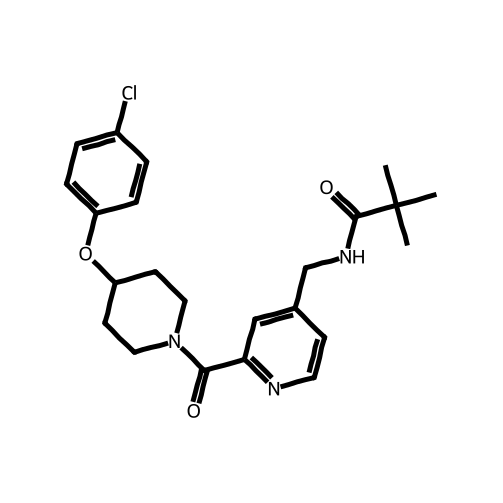 CC(C)(C)C(=O)NCc1ccnc(C(=O)N2CCC(Oc3ccc(Cl)cc3)CC2)c1